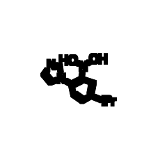 CC(C)c1ccc(-n2ccnc2)c(N(O)O)c1